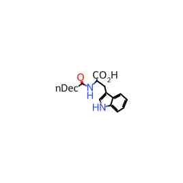 CCCCCCCCCCC(=O)NC(Cc1c[nH]c2ccccc12)C(=O)O